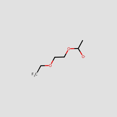 CC([O])OCCOCC(F)(F)F